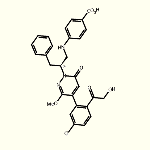 COc1nn([C@H](CNc2ccc(C(=O)O)cc2)Cc2ccccc2)c(=O)cc1-c1cc(Cl)ccc1C(=O)CO